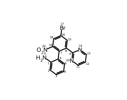 Nc1ccccc1-c1c(-c2ncccn2)cc(Br)cc1[N+](=O)[O-]